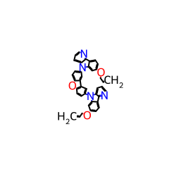 C=CCOc1ccc2c3ncccc3n(-c3ccc4oc5ccc(-n6c7cc(OCC=C)ccc7c7ncccc76)cc5c4c3)c2c1